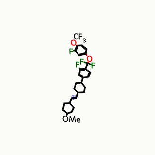 COC1CCC(/C=C/C2CCC(c3ccc(C(F)(F)Oc4ccc(OC(F)(F)F)c(F)c4)c(F)c3)CC2)CC1